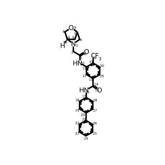 O=C(CN1CC2C[C@H]1CO2)Nc1cc(C(=O)Nc2ccc(-c3ccccc3)cc2)ccc1C(F)(F)F